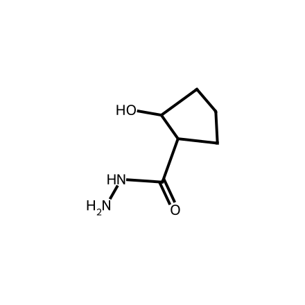 NNC(=O)C1CCCC1O